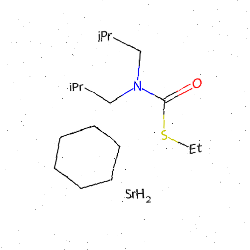 C1CCCCC1.CCSC(=O)N(CC(C)C)CC(C)C.[SrH2]